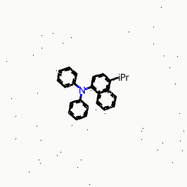 CC(C)c1ccc(N(c2ccccc2)c2ccccc2)c2ccccc12